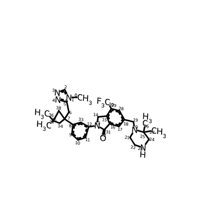 Cn1cnnc1CC1(c2cccc(N3Cc4c(cc(CN5CCNCC5(C)C)cc4C(F)(F)F)C3=O)c2)CC(C)(C)C1